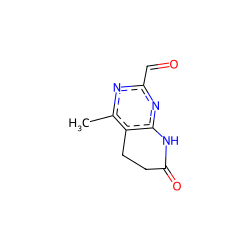 Cc1nc(C=O)nc2c1CCC(=O)N2